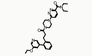 CCOc1cncc(-c2ccccc2CCC(=O)N2CCN(c3ccc(C(=O)N(CC)CC)nn3)CC2)c1